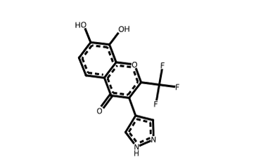 O=c1c(-c2cn[nH]c2)c(C(F)(F)F)oc2c(O)c(O)ccc12